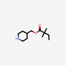 CCC(C)(C)C(=O)OCC1CCNCC1